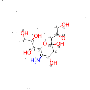 N[C@H]1[C@H]([C@H](O)[C@H](O)CO)O[C@](O)(CC(=O)CO)C[C@@H]1O